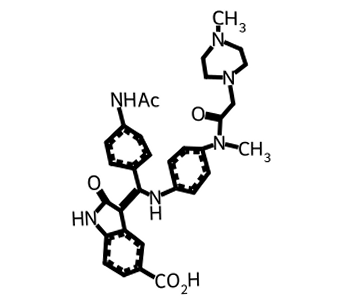 CC(=O)Nc1ccc(C(Nc2ccc(N(C)C(=O)CN3CCN(C)CC3)cc2)=C2C(=O)Nc3ccc(C(=O)O)cc32)cc1